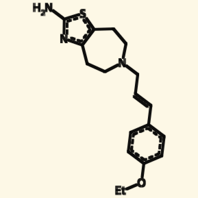 CCOc1ccc(C=CCN2CCc3nc(N)sc3CC2)cc1